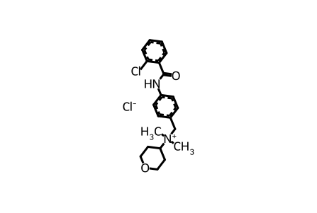 C[N+](C)(Cc1ccc(NC(=O)c2ccccc2Cl)cc1)C1CCOCC1.[Cl-]